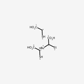 CCCCC(CC)C(=O)O.O=C(O)CS.O=C(O)CS